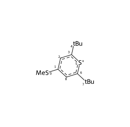 CSc1cc(C(C)(C)C)[s+]c(C(C)(C)C)c1